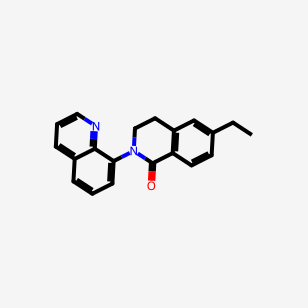 CCc1ccc2c(c1)CCN(c1cccc3cccnc13)C2=O